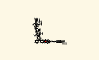 C1CCC(CC2CCCCC2)CC1.C1CCCCC1.C1CNCCN1.C1N2CN3CN1CN(C2)C3.C=C.C=C.C=C.C=C.C=C.CC1=CC(=O)CC(C)(C)C1.CCCCCC.N.N.N.N.N.N.N.N.N.N